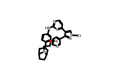 CCn1cc(-c2ccnc(Nc3ccc(C4CC5CCC(C4)N5CCOC)cc3)n2)c(-c2cccnc2)n1